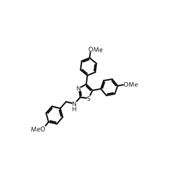 COc1ccc(CNc2nc(-c3ccc(OC)cc3)c(-c3ccc(OC)cc3)s2)cc1